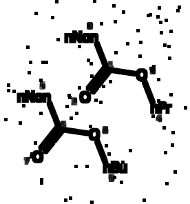 CCCCCCCCCC(=O)OCCC.CCCCCCCCCC(=O)OCCCC